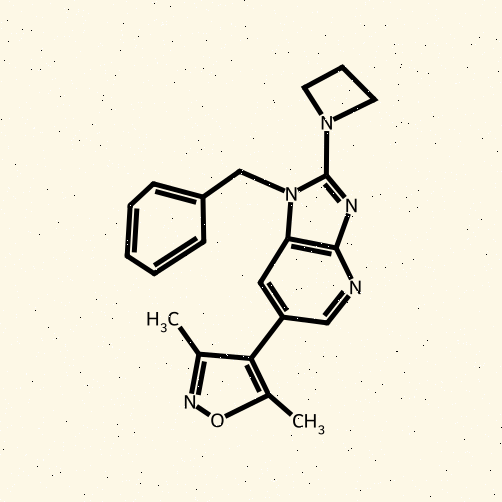 Cc1noc(C)c1-c1cnc2nc(N3CCC3)n(Cc3ccccc3)c2c1